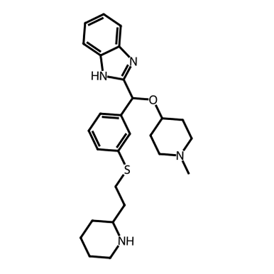 CN1CCC(OC(c2cccc(SCCC3CCCCN3)c2)c2nc3ccccc3[nH]2)CC1